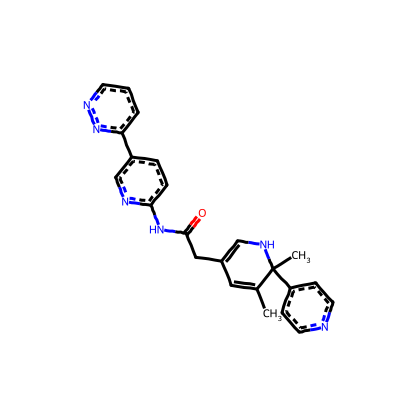 CC1=CC(CC(=O)Nc2ccc(-c3cccnn3)cn2)=CNC1(C)c1ccncc1